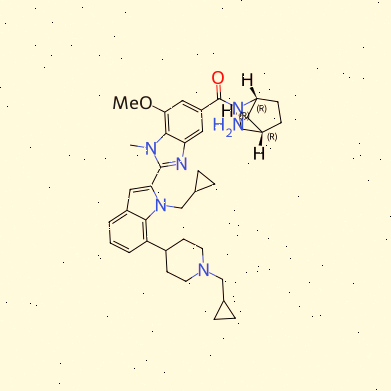 COc1cc(C(=O)N2C[C@H]3CC[C@@H]2[C@@H]3N)cc2nc(-c3cc4cccc(C5CCN(CC6CC6)CC5)c4n3CC3CC3)n(C)c12